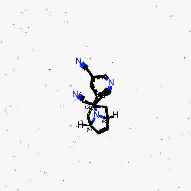 C#CC(C)N1[C@@H]2C=C[C@H]1C[C@](C#N)(c1cncc(C#N)c1)C2